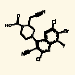 N#CCC1CN(c2c(C#N)c(Cl)nc3c(F)c(Br)c(Cl)cc23)CCN1C(=O)O